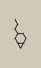 CCCC1CCC2CC2C1